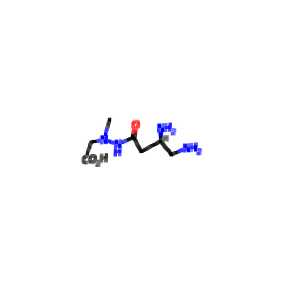 CN(CC(=O)O)NC(=O)C[C@@H](N)CN